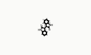 S=C1Nc2ccccc2C1C1C(=S)Nc2ccccc21